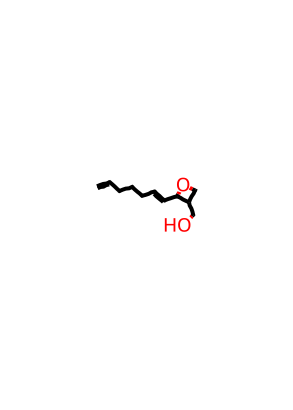 C=CCCCC=CC1OCC1CO